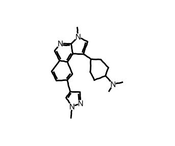 CN(C)C1CCC(c2cn(C)c3ncc4ccc(-c5cnn(C)c5)cc4c23)CC1